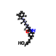 CC1=C(/C=C/C(C)=C/C=C/C(C)=C/C(=O)Nc2ccc(CCCS(=O)(=O)O)cc2)C(C)(C)CCC1